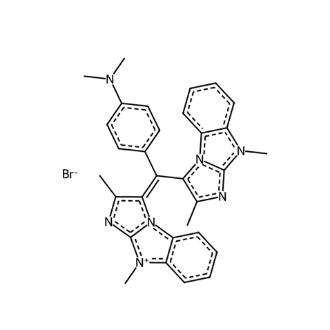 Cc1nc2n(C)c3ccccc3n2c1C(c1ccc(N(C)C)cc1)=c1c(C)nc2n1c1ccccc1[n+]2C.[Br-]